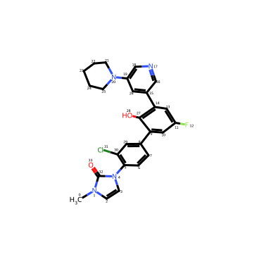 Cn1ccn(-c2ccc(-c3cc(F)cc(-c4cncc(N5CCCCC5)c4)c3O)cc2Cl)c1=O